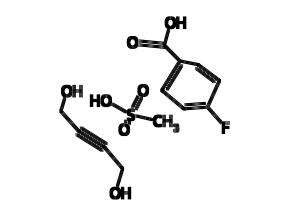 CS(=O)(=O)O.O=C(O)c1ccc(F)cc1.OCC#CCO